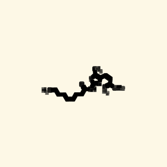 C=CCC/C=C\CCC(=O)Nc1nc(/C=C\C(=C)OC)c(C)s1